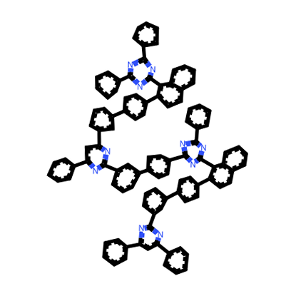 c1ccc(-c2cc(-c3ccccc3)nc(-c3cccc(-c4ccc(-c5ccc6ccccc6c5-c5nc(-c6ccccc6)nc(-c6ccc(-c7cccc(-c8nc(-c9ccccc9)cc(-c9cccc(-c%10ccc(-c%11ccc%12ccccc%12c%11-c%11nc(-c%12ccccc%12)nc(-c%12ccccc%12)n%11)cc%10)c9)n8)c7)cc6)n5)cc4)c3)n2)cc1